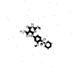 COc1cc(Nc2nc(SC)[nH]c(=O)c2C(N)=O)ccc1S(=O)(=O)N1CCCCC1